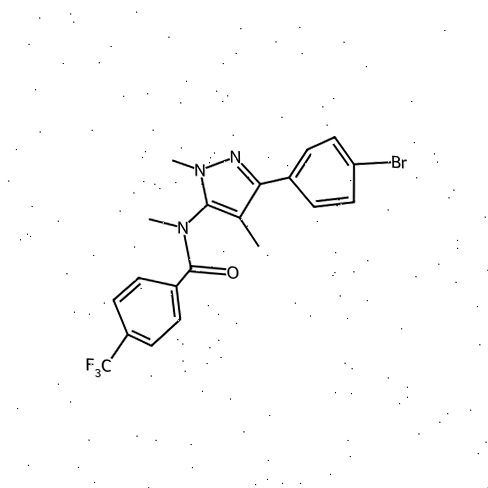 Cc1c(-c2ccc(Br)cc2)nn(C)c1N(C)C(=O)c1ccc(C(F)(F)F)cc1